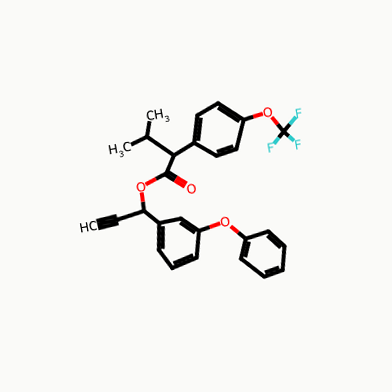 C#CC(OC(=O)C(c1ccc(OC(F)(F)F)cc1)C(C)C)c1cccc(Oc2ccccc2)c1